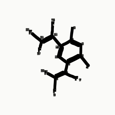 Cc1cc(C)c(C(F)=C(F)F)cc1C(F)=C(F)F